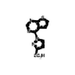 O=C(O)c1ccn(-c2ncnc3sccc23)n1